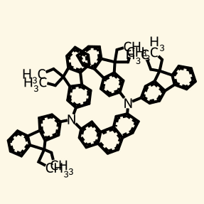 CCC1(CC)c2ccccc2-c2ccc(N(c3ccc4c(c3)C(CC)(CC)c3ccccc3-4)c3ccc4ccc5ccc(N(c6ccc7c(c6)C(CC)(CC)c6ccccc6-7)c6ccc7c(c6)C(CC)(CC)c6ccccc6-7)cc5c4c3)cc21